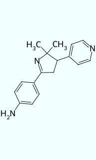 CC1(C)N=C(c2ccc(N)cc2)CC1c1ccncc1